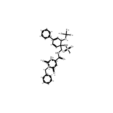 CS(=O)(=O)NC1(CNC(=O)c2cc(=O)n(Cc3ccccc3)c(=O)[nH]2)C=CC(c2ccccc2)=CC1OC(F)(F)F